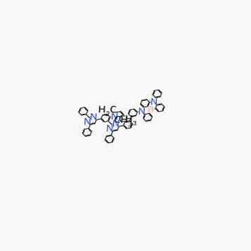 C=C(/C=C\C)N(C)c1ccc(-c2cc(-c3ccccc3)nc(-c3ccccc3)n2)cc1-c1nc(-c2ccccc2)cc(-c2cccc(-c3cccc(N4c5ccccc5B5c6ccccc6N(c6ccccc6)c6cccc4c65)c3)c2)n1